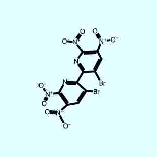 O=[N+]([O-])c1cc(Br)c(-c2nc([N+](=O)[O-])c([N+](=O)[O-])cc2Br)nc1[N+](=O)[O-]